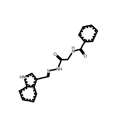 O=C(CNC(=O)c1ccccc1)N/N=C/c1c[nH]c2ccccc12